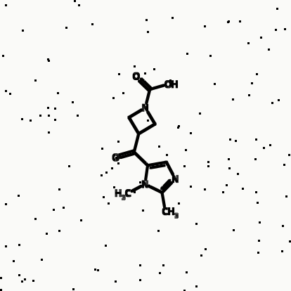 Cc1ncc(C(=O)C2CN(C(=O)O)C2)n1C